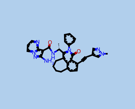 C[C@@H](NC(=O)c1c(N)nn2cccnc12)c1c2c3c(ccc(C#Cc4cnn(C)c4)c3c(=O)n1-c1ccccc1)CCCC2